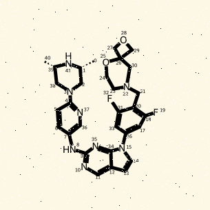 C[C@@H]1CN(c2ccc(Nc3ncc4ccn(-c5cc(F)c(CN6CCOC7(COC7)C6)c(F)c5)c4n3)cn2)C[C@H](C)N1